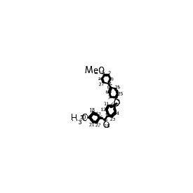 COC1=CCC(C2=CCC(Oc3ccc(C(=O)c4ccc(C)cc4)cc3)C=C2)C=C1